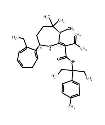 C=C(C)/C(C(=O)NC(CC)(CC)c1ccc(C)cc1)=C1/N[C@@H](C2=CCC=CC=C2CC)CCC(C)(C)N1C